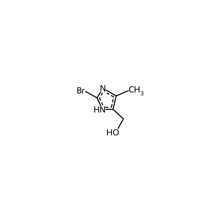 Cc1nc(Br)[nH]c1CO